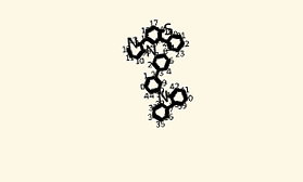 c1cc(-c2cccc(-n3c4cccnc4c4ccc5sc6ccccc6c5c43)c2)cc(-n2c3ccccc3c3ccccc32)c1